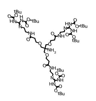 CC(C)(C)OC(=O)NC(=NCCNC(=O)CCOCC(N)(COCCC(=O)NCCN=C(NC(=O)OC(C)(C)C)NC(=O)OC(C)(C)C)COCCC(=O)NCCN=C(NC(=O)OC(C)(C)C)NC(=O)OC(C)(C)C)NC(=O)OC(C)(C)C